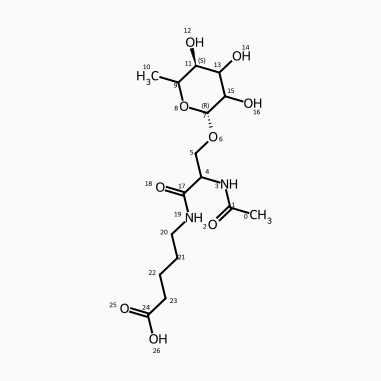 CC(=O)NC(CO[C@@H]1OC(C)[C@@H](O)C(O)C1O)C(=O)NCCCCC(=O)O